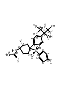 C[C@@H]1C[C@](c2ccc(C(O)(C(F)(F)F)C(F)(F)F)cc2)(S(=O)(=O)c2ccc(F)cc2)CCC1NC(=O)O